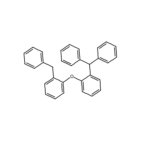 c1ccc(Cc2ccccc2Oc2ccccc2C(c2ccccc2)c2ccccc2)cc1